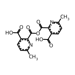 Cc1ccc(C(=O)O)c(C(=O)OC(=O)c2nc(C)ccc2C(=O)O)n1